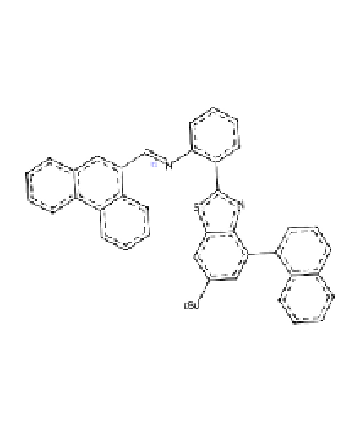 CC(C)(C)c1cc(-c2cccc3ccccc23)c2nc(-c3ccccc3/N=C/c3cc4ccccc4c4ccccc34)sc2c1